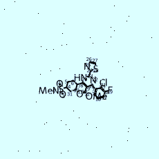 CNS(=O)(=O)C1CCC(C2=C(C(=O)OC)C(c3cccc(F)c3Cl)N=C(c3nccs3)N2)CC1